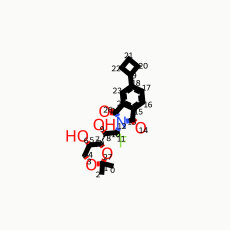 CC1(C)OCC(O)[C@H](C(O)C(F)N2C(=O)c3ccc(C4CCC4)cc3C2=O)O1